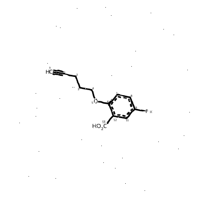 C#CCCCOc1ccc(F)cc1C(=O)O